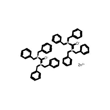 [O-]C(N(Cc1ccccc1)Cc1ccccc1)=S(Cc1ccccc1)Cc1ccccc1.[O-]C(N(Cc1ccccc1)Cc1ccccc1)=S(Cc1ccccc1)Cc1ccccc1.[Zn+2]